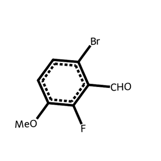 COc1ccc(Br)c(C=O)c1F